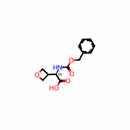 O=C(N[C@@H](C(=O)O)C1COC1)OCc1ccccc1